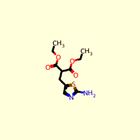 CCOC(=O)C(Cc1cnc(N)s1)C(=O)OCC